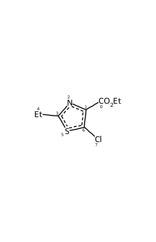 CCOC(=O)c1nc(CC)sc1Cl